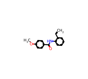 C=Cc1ccccc1NC(=O)c1ccc(OC)cc1